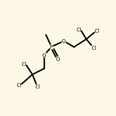 CP(=O)(OCC(Cl)(Cl)Cl)OCC(Cl)(Cl)Cl